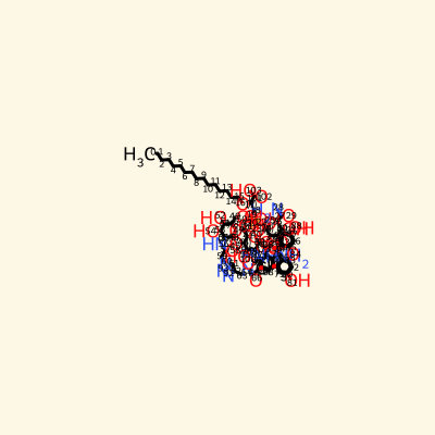 CCCCCCCCCCCCCCCCO[C@H](COP(=O)(O)O[C@H]1OC(C(N)=O)[C@@H](O)[C@H](OC(N)=O)C1O[C@@H]1OC(CO)[C@@H](O[C@@H]2OC(CO)[C@H](O)C(O)[C@@H]2NC(=O)Cn2cc(CNC(=O)c3ccc4c(c3)C(=O)OC43c4ccc(O)cc4Oc4cc(O)ccc43)nn2)C(O)[C@@H]1NC(C)=O)C(=O)O